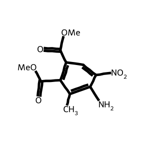 COC(=O)c1cc([N+](=O)[O-])c(N)c(C)c1C(=O)OC